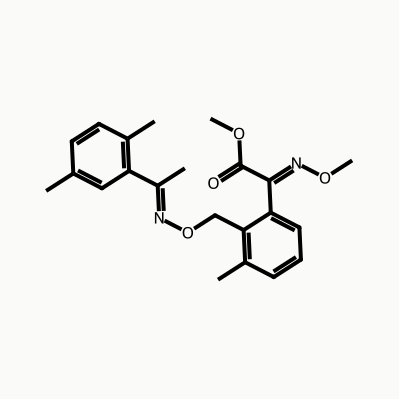 CO/N=C(/C(=O)OC)c1cccc(C)c1CO/N=C(\C)c1cc(C)ccc1C